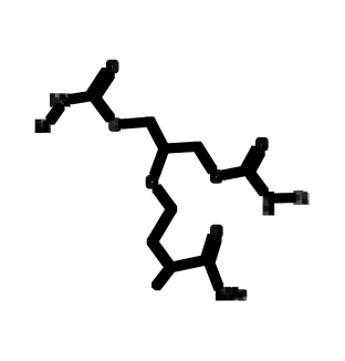 CCNC(=O)OCC(COC(=O)NCC)OCCC(C)C(=O)NC